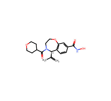 C=C(C)[C@@H]1c2ccc(C(=O)NO)cc2OCCN1C(=O)C1CCOCC1